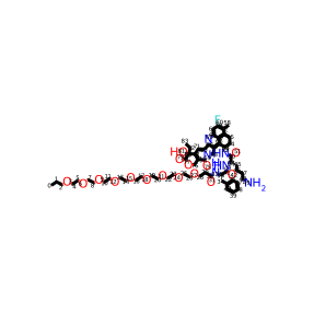 CCCOCCOCCOCCOCCOCCOCCOCCOCCOCCC(=O)N[C@@H](Cc1ccccc1)C(=O)N[C@@H](CCCCN)C(=O)N[C@H]1CCc2c(C)c(F)cc3nc4c(c1c23)Cn1c-4cc2c(c1=O)COC(=O)[C@]2(O)CC